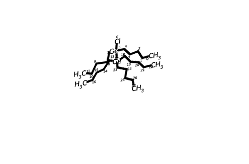 CCCC[CH2][Ge]([Cl])([CH2]CCCC)[Ge]([CH2]CCCC)([CH2]CCCC)[CH2]CCCC